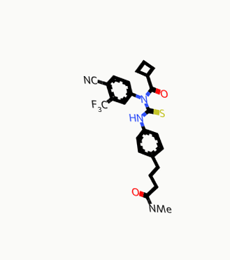 CNC(=O)CCCc1ccc(NC(=S)N(C(=O)C2CCC2)c2ccc(C#N)c(C(F)(F)F)c2)cc1